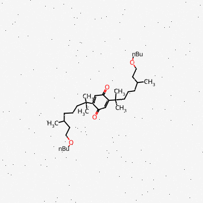 CCCCOCCC(C)CCCC(C)(C)C1=CC(=O)C(C(C)(C)CCCC(C)CCOCCCC)=CC1=O